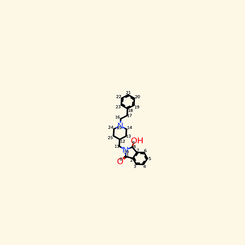 O=C1c2ccccc2C(O)N1CC1CCN(CCc2ccccc2)CC1